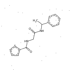 CC(NC(=O)CNC(=O)c1cccs1)c1ccccc1